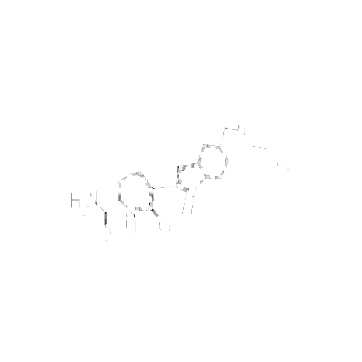 COCCN(C)Cc1ccc2[nH]c(-c3c[c]c(C(N)=O)[nH]c3=O)cc2c1